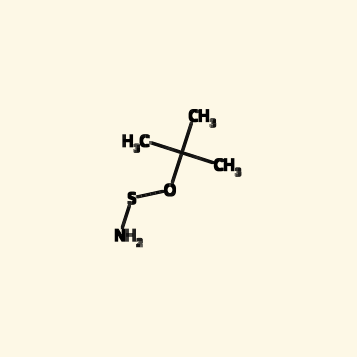 CC(C)(C)OSN